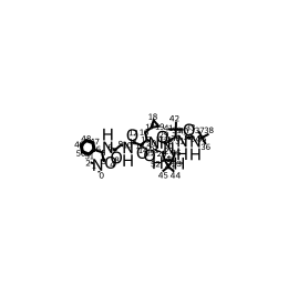 CN(C)C(=O)[C@@H](NC(=O)CNC(=O)C(=O)C(CC1CC1)NC(=O)[C@@H]1[C@@H]2[C@H](CN1C(=O)[C@@H](NC(=O)NC(C)(C)C)C(C)(C)C)C2(C)C)c1ccccc1